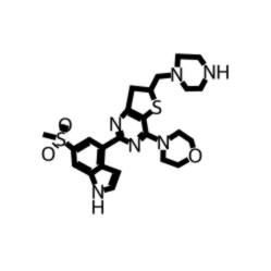 CS(=O)(=O)c1cc(-c2nc3c(c(N4CCOCC4)n2)SC(CN2CCNCC2)C3)c2cc[nH]c2c1